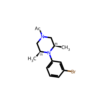 CC(=O)N1C[C@@H](C)N(c2cccc(Br)c2)[C@@H](C)C1